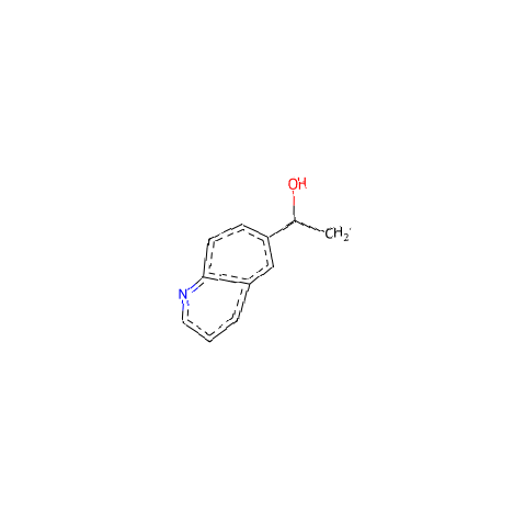 [CH2]C(O)c1ccc2ncccc2c1